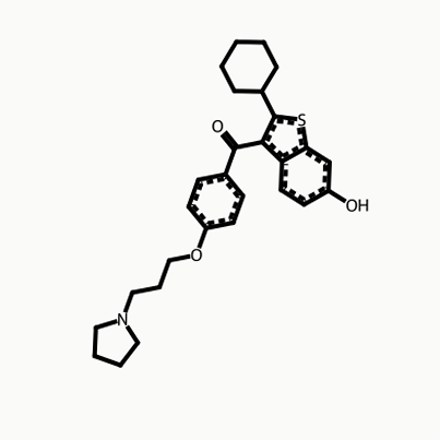 O=C(c1ccc(OCCCN2CCCC2)cc1)c1c(C2CCCCC2)sc2cc(O)ccc12